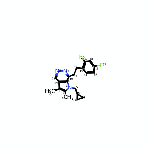 Cc1c(C)n(CC2CC2)c2c(CCc3ccc(F)cc3F)nncc12